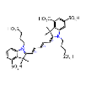 CC1(C)C(/C=C/C=C/C=C2/N(CCCS(=O)(=O)O)c3cc(S(=O)(=O)O)cc(C(=O)O)c3C2(C)C)=[N+](CCCS(=O)(=O)O)c2cccc(S(=O)(=O)O)c21